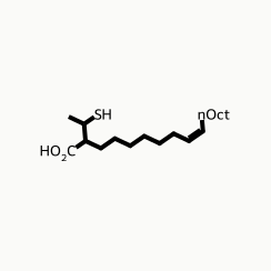 CCCCCCCC/C=C\CCCCCCC(C(=O)O)C(C)S